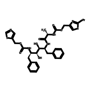 CC(C)c1nc(COC(=O)N[C@@H](C)C(=O)N[C@@H](Cc2ccccc2)[C@H](O)[C@H](O)[C@H](Cc2ccccc2)NC(=O)OCc2cncs2)cs1